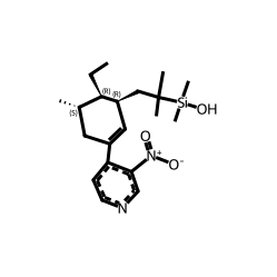 CC[C@H]1[C@@H](CC(C)(C)[Si](C)(C)O)C=C(c2ccncc2[N+](=O)[O-])C[C@@H]1C